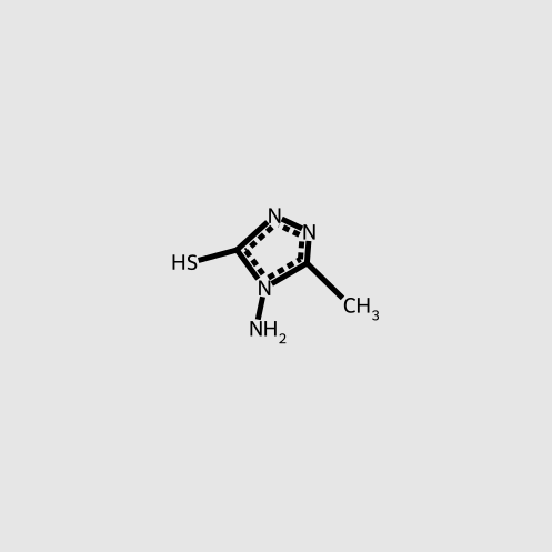 Cc1nnc(S)n1N